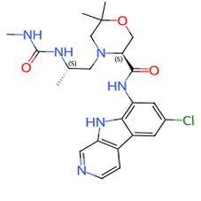 CNC(=O)N[C@@H](C)CN1CC(C)(C)OC[C@H]1C(=O)Nc1cc(Cl)cc2c1[nH]c1cnccc12